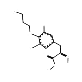 CCNC(=O)/C(Cc1cc(Br)c(OCCCN)c(Br)c1)=N\O